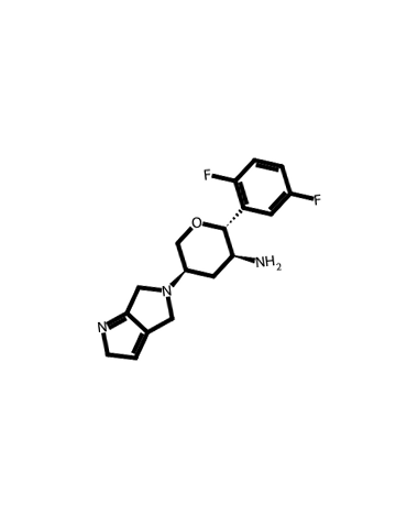 N[C@H]1C[C@@H](N2CC3=CCN=C3C2)CO[C@@H]1c1cc(F)ccc1F